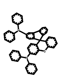 c1ccc(N(c2ccccc2)c2ccc3c(c2)Sc2ccccc2C32c3ccccc3-c3cc(N(c4ccccc4)c4ccccc4)ccc32)cc1